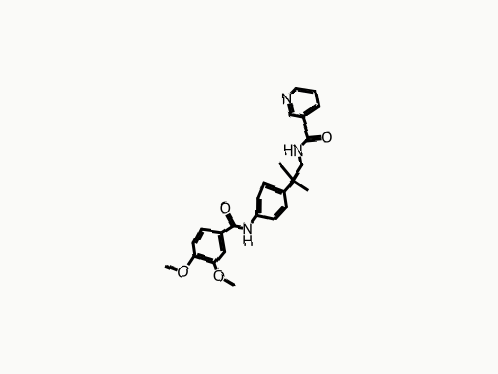 COc1ccc(C(=O)Nc2ccc(C(C)(C)CNC(=O)c3cccnc3)cc2)cc1OC